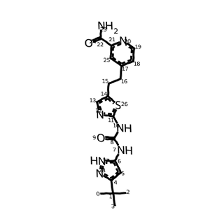 CC(C)(C)c1cc(NC(=O)Nc2ncc(CCc3ccnc(C(N)=O)c3)s2)[nH]n1